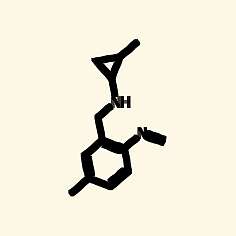 C=Nc1ccc(C)cc1CNC1CC1C